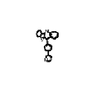 c1cncc(-c2ccc(-c3c4ccccc4nc4c3sc3ccccc34)cc2)c1